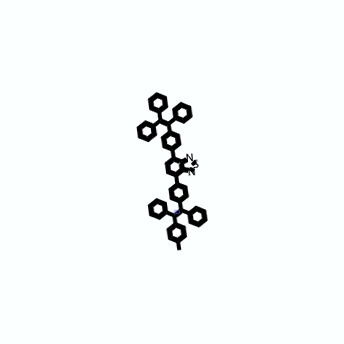 Cc1ccc(/C(=C(\c2ccccc2)c2ccc(-c3ccc(-c4ccc(C(=C(c5ccccc5)c5ccccc5)c5ccccc5)cc4)c4nsnc34)cc2)c2ccccc2)cc1